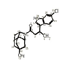 CC(CC(=O)N1C2CC3CC1CC(O)(C3)C2)c1c[nH]c2cc(Cl)ccc12